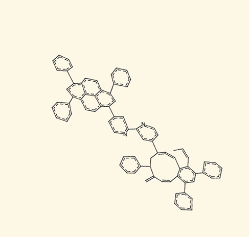 C=C1/C=C\c2c(-c3ccccc3)cc(-c3ccccc3)c(/C=C\C)c2C=C=C(c2ccnc(-c3cc(-c4cc(-c5ccccc5)c5ccc6c(-c7ccccc7)cc(-c7ccccc7)c7ccc4c5c67)ccn3)c2)CC1c1ccccc1